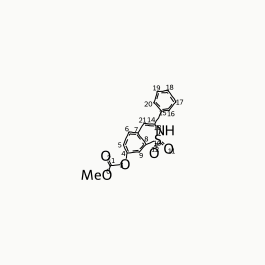 COC(=O)Oc1ccc2c(c1)S(=O)(=O)NC(c1ccccc1)=C2